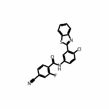 N#Cc1ccc(C(=O)Nc2ccc(Cl)c(-c3nc4ccccc4s3)c2)c(F)c1